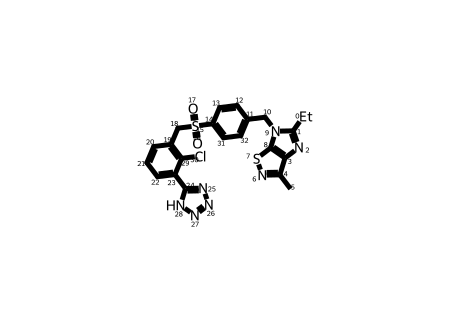 CCc1nc2c(C)nsc2n1Cc1ccc(S(=O)(=O)Cc2cccc(-c3nnn[nH]3)c2Cl)cc1